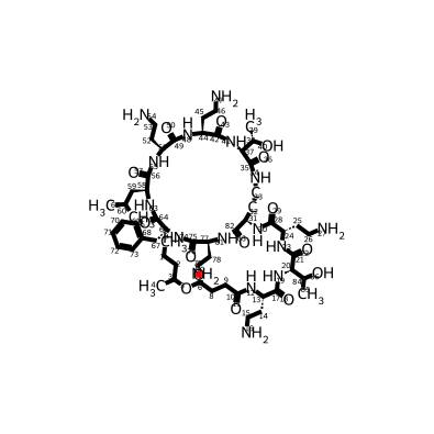 CCCC(C)OC(=O)CCC(=O)N[C@@H](CCN)C(=O)N[C@H](C(=O)N[C@@H](CCN)C(=O)N[C@H]1CCNC(=O)[C@H]([C@H](C)O)NC(=O)[C@H](CCN)NC(=O)[C@H](CCN)NC(=O)[C@H](CC(C)C)NC(=O)[C@@H](Cc2ccccc2)NC(=O)[C@H](CCN)NC1=O)C(C)O